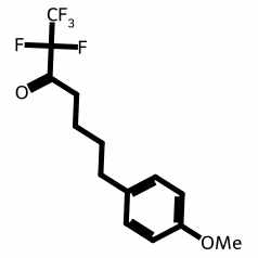 COc1ccc(CCCCC(=O)C(F)(F)C(F)(F)F)cc1